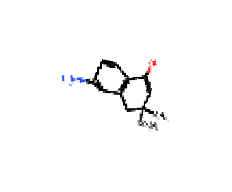 CC1(S(=O)(=O)O)C=C(O)c2ccc(N)cc2C1